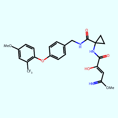 COC(=N)/C=C(\O)C(=O)NC1(C(=O)NCc2ccc(Oc3ccc(OC)cc3C(F)(F)F)cc2)CC1